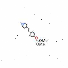 COC(COc1ccc(C=Cc2cc[n+](C)cc2)cc1)OC